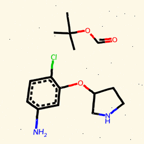 CC(C)(C)OC=O.Nc1ccc(Cl)c(OC2CCNC2)c1